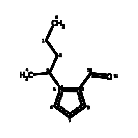 CCCC(C)n1cccc1C=O